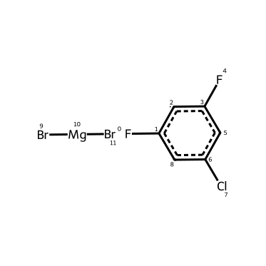 Fc1[c]c(F)cc(Cl)c1.[Br][Mg][Br]